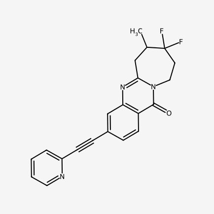 CC1Cc2nc3cc(C#Cc4ccccn4)ccc3c(=O)n2CCC1(F)F